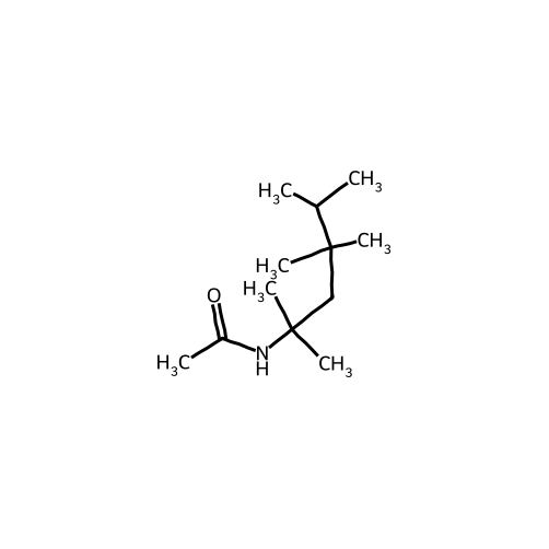 CC(=O)NC(C)(C)CC(C)(C)C(C)C